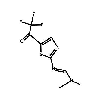 CN(C)/C=N/c1ncc(C(=O)C(F)(F)F)s1